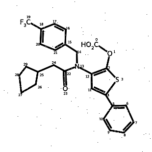 O=C(O)Oc1sc(-c2ccccc2)cc1N(Cc1ccc(C(F)(F)F)cc1)C(=O)CC1CCCC1